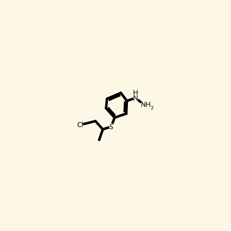 CC(CCl)Sc1cccc(NN)c1